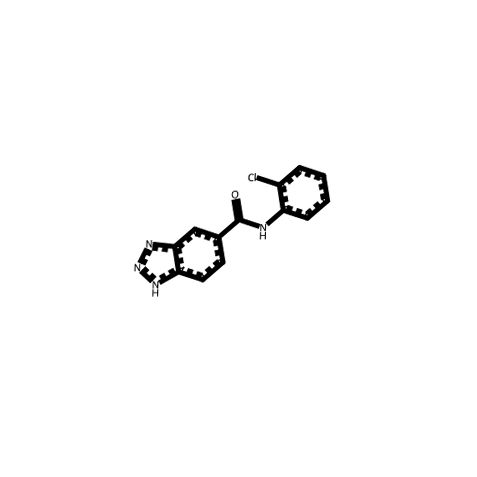 O=C(Nc1ccccc1Cl)c1ccc2[nH]nnc2c1